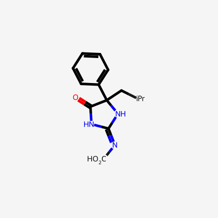 CC(C)CC1(c2ccccc2)NC(=NC(=O)O)NC1=O